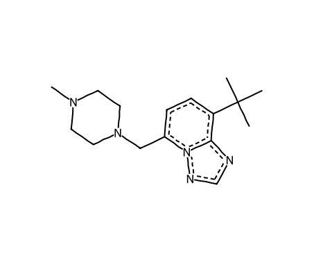 CN1CCN(Cc2ccc(C(C)(C)C)c3ncnn23)CC1